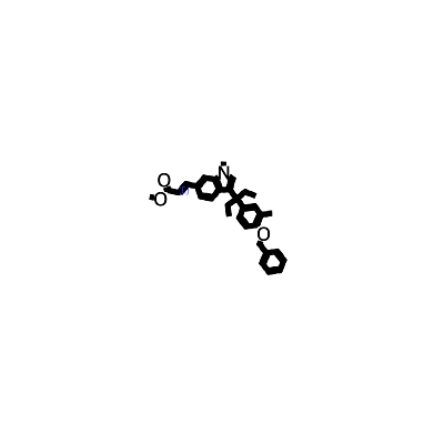 CCC(CC)(c1ccc(OCc2ccccc2)c(C)c1)c1cn(C)c2cc(/C=C/C(=O)OC)ccc12